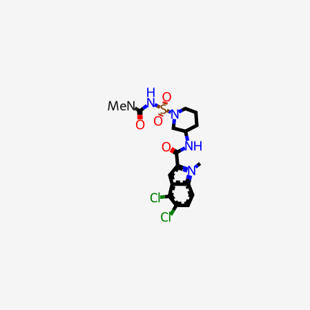 CNC(=O)NS(=O)(=O)N1CCCC(NC(=O)c2cc3c(Cl)c(Cl)ccc3n2C)C1